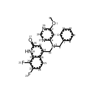 COc1cc(N(Cc2ccccc2)Cc2cc(=O)[nH]c3c(F)c(F)ccc23)ncn1